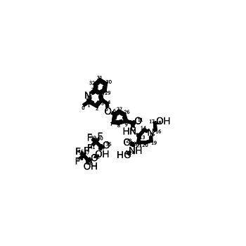 Cc1cc(COc2ccc(C(=O)N[C@@H]3CN(CCO)CC[C@@H]3C(=O)NO)cc2)c2ccccc2n1.O=C(O)C(F)(F)F.O=C(O)C(F)(F)F